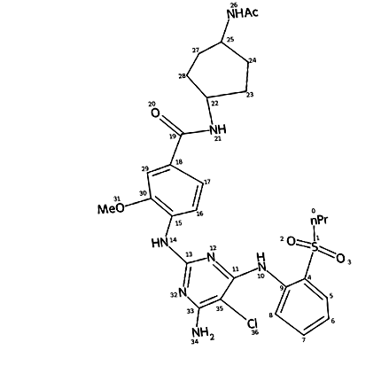 CCCS(=O)(=O)c1ccccc1Nc1nc(Nc2ccc(C(=O)NC3CCC(NC(C)=O)CC3)cc2OC)nc(N)c1Cl